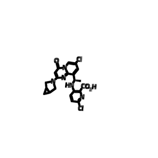 C[C@@H](Nc1ccc(Cl)nc1C(=O)O)c1cc(Cl)cn2c(=O)cc(N3CC4CC4C3)nc12